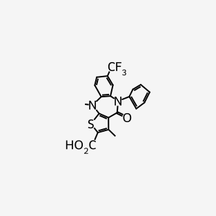 Cc1c(C(=O)O)sc2c1C(=O)N(c1ccccc1)c1cc(C(F)(F)F)ccc1N2C